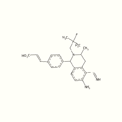 CC1Cc2c(ccc(N)c2C=N)C(c2ccc(/C=C/C(=O)O)cc2)N1CC(C)(C)F